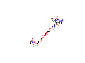 CCN1C(=O)N[C@H]2CS[C@@H](CNCCOCCOCCOCCOCCC(=O)ON3C(=O)CCC3=O)[C@H]21